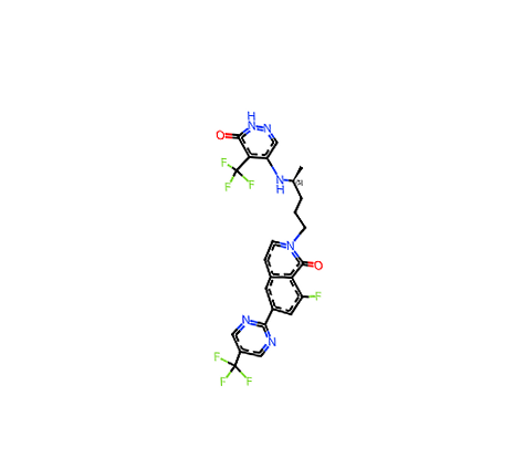 C[C@@H](CCCn1ccc2cc(-c3ncc(C(F)(F)F)cn3)cc(F)c2c1=O)Nc1cn[nH]c(=O)c1C(F)(F)F